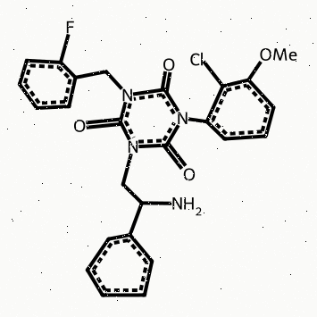 COc1cccc(-n2c(=O)n(Cc3ccccc3F)c(=O)n(CC(N)c3ccccc3)c2=O)c1Cl